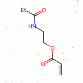 C=CC(=O)OCCNC(=O)CC